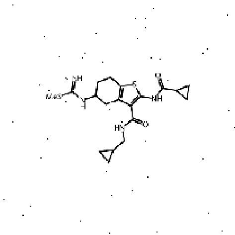 CSC(=N)NC1CCc2sc(NC(=O)C3CC3)c(C(=O)NCC3CC3)c2C1